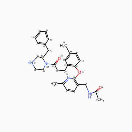 CC(=O)NCc1ccc(C)nc1Oc1ccc(C)cc1CCC(=O)N1CCNCC1Cc1ccccc1